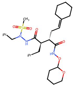 CC(C)C[C@@H](C(=O)NN(CC(C)C)S(C)(=O)=O)[C@H](CC=C1CCCCC1)C(=O)NOC1CCCCO1